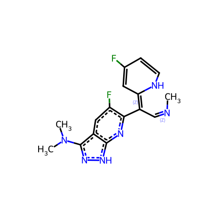 C/N=C\C(=C1\C=C(F)C=CN1)c1nc2[nH]nc(N(C)C)c2cc1F